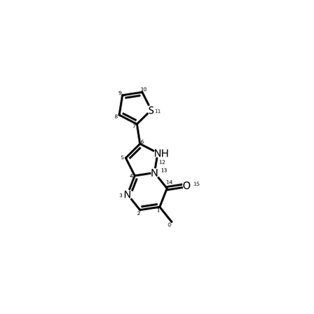 Cc1cnc2cc(-c3cccs3)[nH]n2c1=O